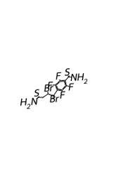 NC(=S)CC(Br)C(Br)c1c(F)c(F)c(C(N)=S)c(F)c1F